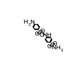 Nc1ccc(S(=O)(=O)ONc2ccc(S(N)(=O)=O)cc2)cc1